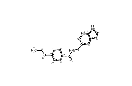 O=C(NCc1cnc2[nH]ccc2c1)c1ccc(OCC(F)(F)F)nc1